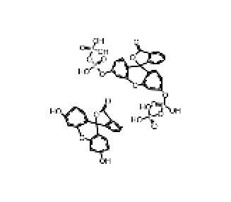 O=C1OC2(c3ccc(O)cc3Oc3cc(O)ccc32)c2ccccc21.O=C1OC2(c3ccc(OP(=O)(O)OP(=O)(O)O)cc3Oc3cc(OP(=O)(O)OP(=O)(O)O)ccc32)c2ccccc21